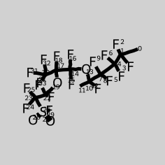 CC(F)(F)C(F)(F)C(F)(F)C(C)(F)OC(F)(F)C(F)(OC(F)(F)C(F)(F)S(=O)(=O)F)C(F)(F)F